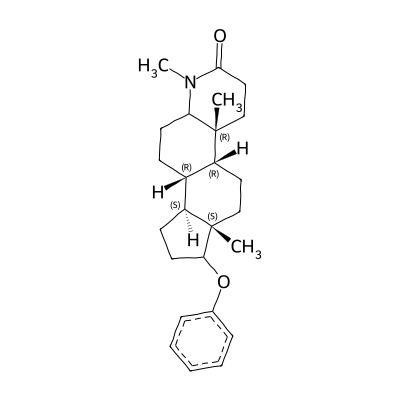 CN1C(=O)CC[C@@]2(C)C1CC[C@@H]1[C@H]2CC[C@]2(C)C(Oc3ccccc3)CC[C@@H]12